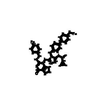 CN(Cc1nnc(Cn2c(SCc3ccc(F)cc3)nc(=O)c3c2CCC3)n1Cc1ccc(-c2ccc(CF)cc2)cc1)C1CC1